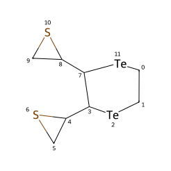 C1C[Te]C(C2CS2)C(C2CS2)[Te]1